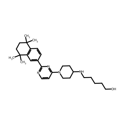 CC1(C)CCC(C)(C)c2cc(-c3nccc(N4CCC(NCCCCCO)CC4)n3)ccc21